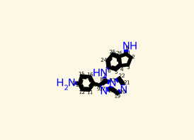 N=C1CCc2cc(Nc3c(-c4ccc(N)cc4)nc4cnccn34)ccc21